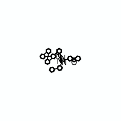 c1ccc(-c2cccc(-c3nc(-c4ccc5c(c4)oc4ccccc45)nc(-n4c5ccccc5c5cc6c(cc54)-c4ccccc4C64c5ccccc5-c5ccccc54)n3)c2)cc1